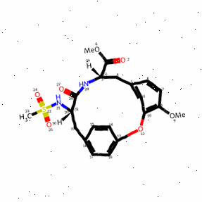 COC(=O)[C@@H]1Cc2ccc(OC)c(c2)Oc2ccc(cc2)C[C@H](NS(C)(=O)=O)C(=O)N1